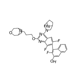 Oc1cc2ccccc2c(-c2c(F)cc3c(N4CC5CCC(C4)N5)nc(OCCCN4C5CCC4COC5)nc3c2F)c1F